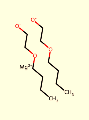 CCCCOCC[O-].CCCCOCC[O-].[Mg+2]